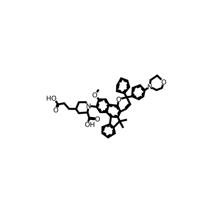 COc1cc2c3c(c4c(c2cc1N1CCC(CCC(=O)O)CC1C(=O)O)-c1ccccc1C4(C)C)C=CC(c1ccccc1)(c1ccc(N2CCOCC2)cc1)O3